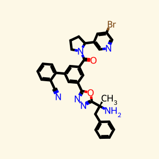 C[C@@](N)(Cc1ccccc1)c1nnc(-c2cc(C(=O)N3CCCC3c3cncc(Br)c3)cc(-c3ccccc3C#N)c2)o1